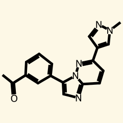 CC(=O)c1cccc(-c2cnc3ccc(-c4cnn(C)c4)nn23)c1